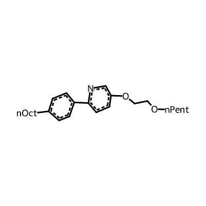 CCCCCCCCc1ccc(-c2ccc(OCCOCCCCC)cn2)cc1